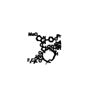 COc1ccc2c(O[C@@H]3C[C@H]4C(=O)N[C@]5(C(=O)NS(=O)(=O)C6(C)CC6)C[C@H]5C=CCC[C@H](C)C[C@@H](C)[C@H](NC(=O)OC(C)(C)C(F)(F)F)C(=O)N4C3)nc(-c3ccc(OC(C)C)cc3)nc2c1